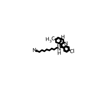 CC1=C[C@H]2Cc3nc4cc(Cl)ccc4c(NCCCCCCCCC#N)c3[C@@H](C1)C2